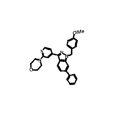 COc1ccc(Cn2nc(-c3ccnc(N4CCOCC4)c3)c3ccc(-c4ccccc4)cc32)cc1